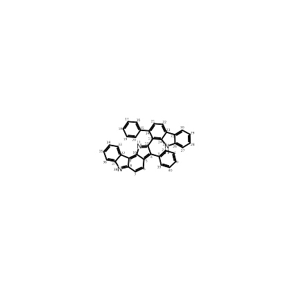 c1ccc(C2=c3ccc4c(c3N=C2c2c(-c3ccccc3)ccc3c2[nH]c2ccccc23)-c2ccccc2N=4)cc1